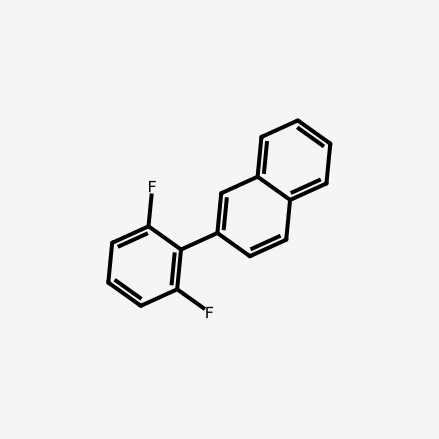 Fc1cccc(F)c1-c1ccc2ccccc2c1